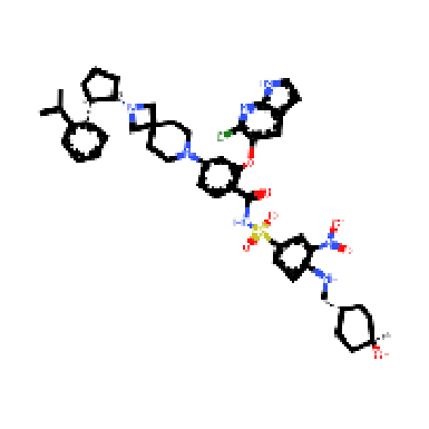 CC(C)c1ccccc1[C@@H]1CCC[C@@H]1N1CC2(CCN(c3ccc(C(=O)NS(=O)(=O)c4ccc(NC[C@H]5CC[C@](C)(O)CC5)c([N+](=O)[O-])c4)c(Oc4cc5cc[nH]c5nc4Cl)c3)CC2)C1